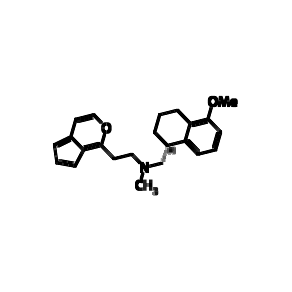 COc1cccc2c1CCC[C@H]2CN(C)CCc1occc2cccc1-2